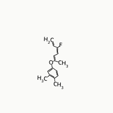 C=C/C(F)=C\C=C(/C)Oc1ccc(C)c(C)c1